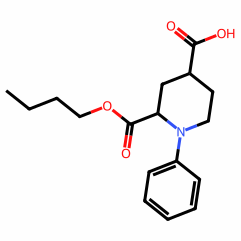 CCCCOC(=O)C1CC(C(=O)O)CCN1c1ccccc1